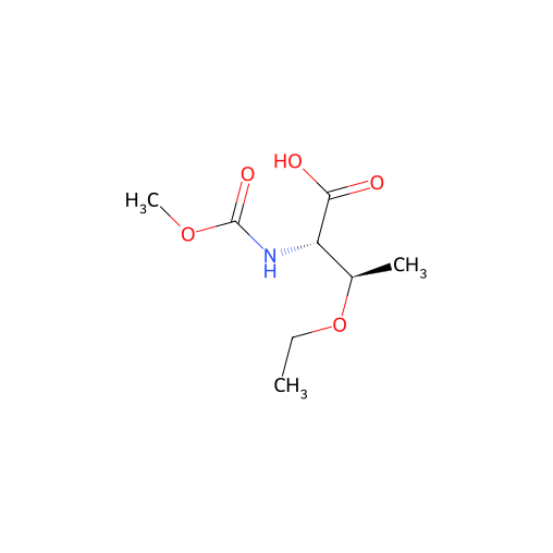 CCO[C@H](C)[C@H](NC(=O)OC)C(=O)O